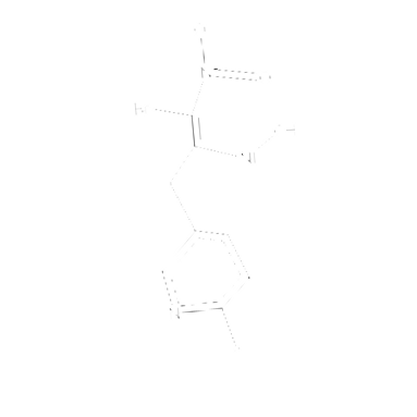 CN/C(Cc1ccc(Cl)nc1)=C(/Br)[N+](=O)[O-]